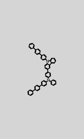 c1ccc(-c2ccc(-c3ccc(N(c4ccccc4)c4ccc(-c5ccc6c(c5)c5ccccc5n6-c5ccc(-c6ccc(-c7ccccc7)cc6)cc5)cc4)cc3)cc2)cc1